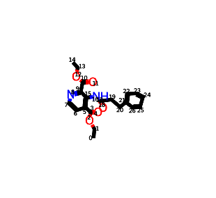 CCOC(=O)c1ccnc(C(=O)OCC)c1NC(=O)CCc1ccccc1